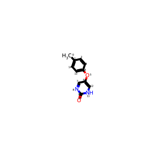 Cc1ccc(Oc2cnc(=O)[nH]c2)cc1